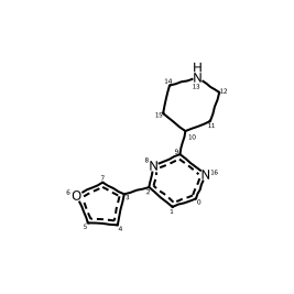 c1cc(-c2ccoc2)nc(C2CCNCC2)n1